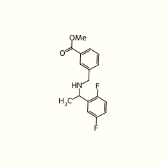 COC(=O)c1cccc(CNC(C)c2cc(F)ccc2F)c1